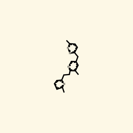 Cc1ccc(Cc2cnc(CCc3cccc(C)n3)c(C)c2)nn1